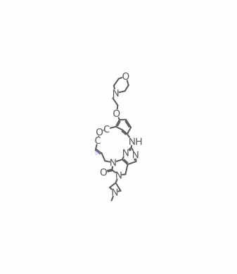 CN1CC(N2Cc3cnc4nc3N(C/C=C/COCc3cc(ccc3OCCN3CCOCC3)N4)C2=O)C1